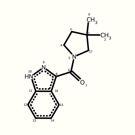 CC1(C)CCN(C(=O)c2n[nH]c3ccccc23)C1